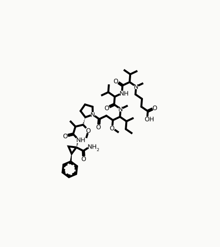 CCC(C)C(C(CC(=O)N1CCC[C@H]1C(OC)C(C)C(=O)N[C@@]1(C(N)=O)C[C@@H]1c1ccccc1)OC)N(C)C(=O)C(NC(=O)C(C(C)C)N(C)CCCC(=O)O)C(C)C